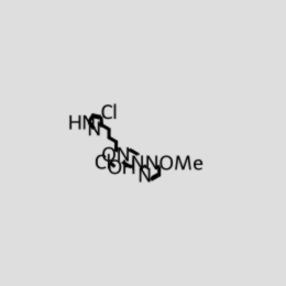 COc1ccnc(N2CCN(C(=O)CCCc3n[nH]cc3Cl)CC2)n1.OCl